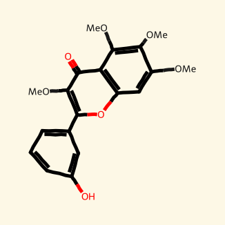 COc1cc2oc(-c3cccc(O)c3)c(OC)c(=O)c2c(OC)c1OC